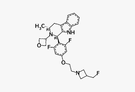 C[C@@H]1Cc2c([nH]c3ccccc23)[C@@H](c2c(F)cc(OCCN3CC(CF)C3)cc2F)N1C1COC1